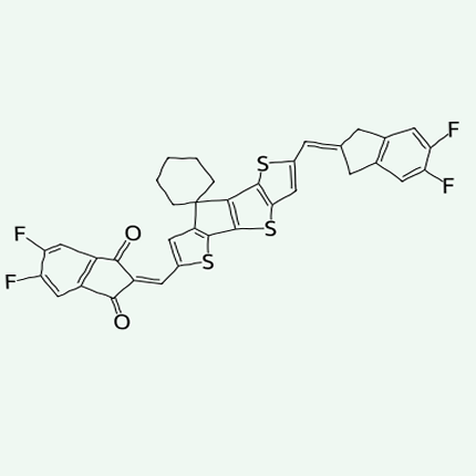 O=C1C(=Cc2cc3c(s2)-c2sc4cc(C=C5Cc6cc(F)c(F)cc6C5)sc4c2C32CCCCC2)C(=O)c2cc(F)c(F)cc21